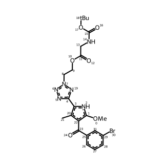 COc1[nH]c(-c2nnn(CCOC(=O)CNC(=O)OC(C)(C)C)n2)c(C)c1C(=O)c1cccc(Br)c1